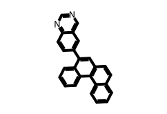 c1ccc2c(c1)ccc1cc(-c3ccc4ncncc4c3)c3ccccc3c12